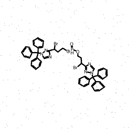 O=[PH](OCCC(Br)c1ncn(C(c2ccccc2)(c2ccccc2)c2ccccc2)n1)OCCC(Br)c1ncn(C(c2ccccc2)(c2ccccc2)c2ccccc2)n1